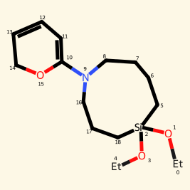 CCO[Si]1(OCC)CCCCN(C2=CC=CCO2)CCC1